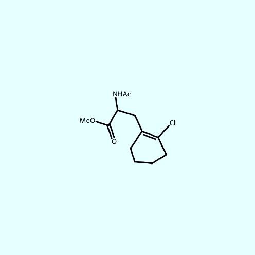 COC(=O)C(CC1=C(Cl)CCCC1)NC(C)=O